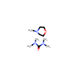 CN(C)C(=O)N(C)C.CN1CCOCC1